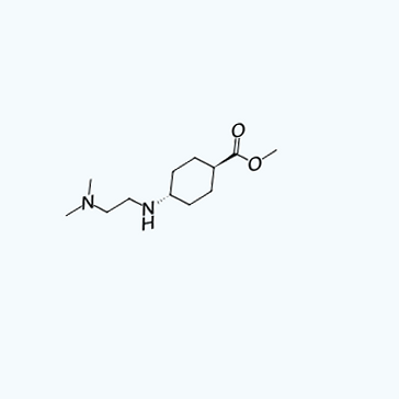 COC(=O)[C@H]1CC[C@H](NCCN(C)C)CC1